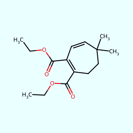 CCOC(=O)C1=C(C(=O)OCC)CCC(C)(C)C=C1